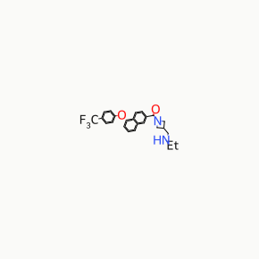 CCNCC1CN(C(=O)c2ccc3c(Oc4ccc(C(F)(F)F)cc4)cccc3c2)C1